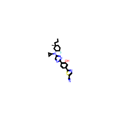 CCC[C@]1(C)CC[C@H](F)[C@H](N(c2cnc(-c3ccc(-c4ncc(C#N)s4)cc3O)nn2)C2CC2)C1